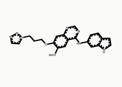 COc1cc2c(Nc3ccc4cc[nH]c4c3)ncnc2cc1OCCCn1ccnn1